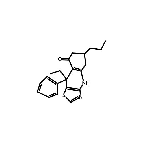 CCCC1CC(=O)C2=C(C1)Nc1ncsc1C2(CC)c1ccccc1